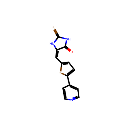 O=C1NC(=S)NC1=Cc1ccc(-c2ccncc2)s1